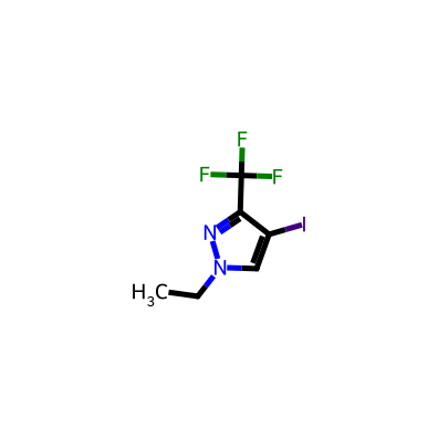 CCn1cc(I)c(C(F)(F)F)n1